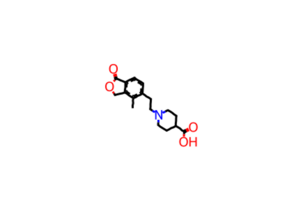 Cc1c(CCN2CCC(C(=O)O)CC2)ccc2c1COC2=O